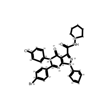 O=C(NN1CCCCC1)c1nn(-c2ccccc2)c2nc(-c3ccc(Br)cc3)n(-c3ccc(Cl)cc3)c(=O)c12